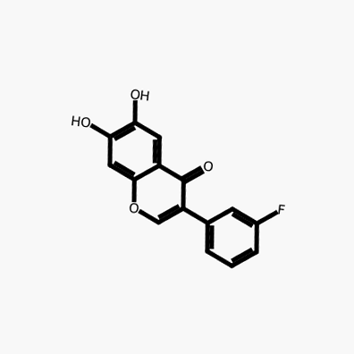 O=c1c(-c2cccc(F)c2)coc2cc(O)c(O)cc12